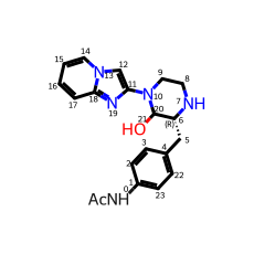 CC(=O)Nc1ccc(C[C@H]2NCCN(c3cn4ccccc4n3)C2O)cc1